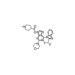 CN1CCC(C(=O)On2cnc3c(-n4c(C(F)F)nc5ccccc54)nc(N4CCOCC4)nc32)CC1